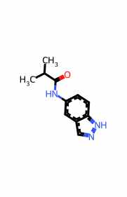 CC(C)C(=O)Nc1ccc2[nH]ncc2c1